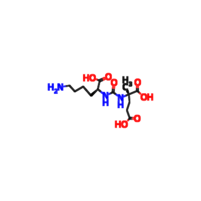 C[C@@](CCC(=O)O)(NC(=O)N[C@@H](CCCCN)C(=O)O)C(=O)O